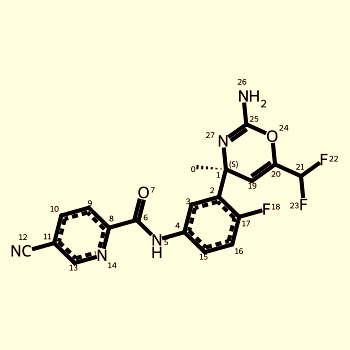 C[C@@]1(c2cc(NC(=O)c3ccc(C#N)cn3)ccc2F)C=C(C(F)F)OC(N)=N1